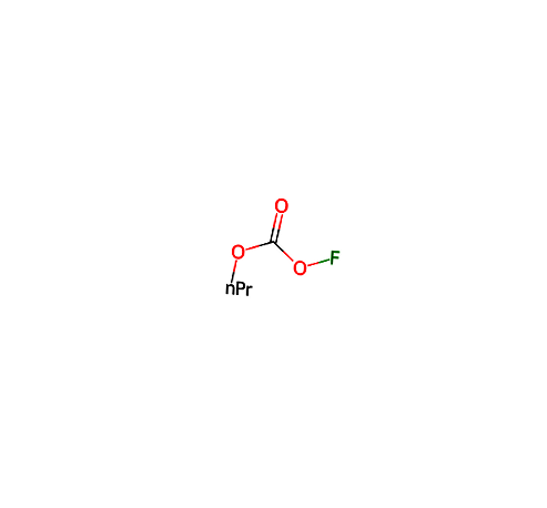 CCCOC(=O)OF